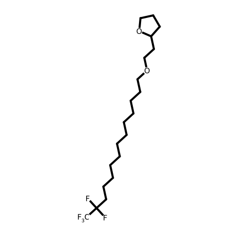 FC(F)(F)C(F)(F)CCCCCCCCCCCCOCCC1CCCO1